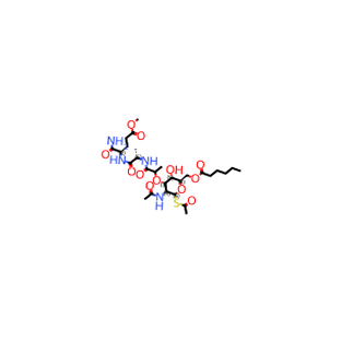 CCCCCC(=O)OC[C@H]1O[C@@H](SC(C)=O)[C@H](NC(C)=O)[C@H](OC(C)C(=O)N[C@@H](C)C(=O)N[C@H](CCC(=O)OC)C(N)=O)[C@@H]1O